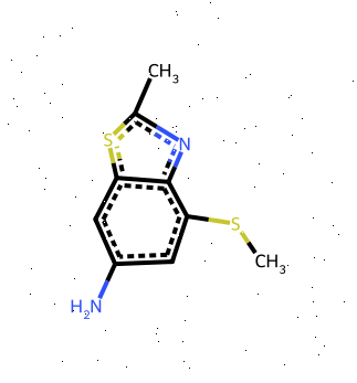 CSc1cc(N)cc2sc(C)nc12